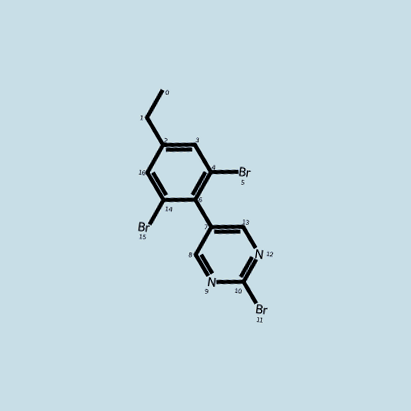 CCc1cc(Br)c(-c2cnc(Br)nc2)c(Br)c1